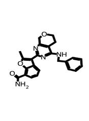 Cc1oc2c(C(N)=O)cccc2c1-c1nc2c(c(NCc3ccccc3)n1)CCOC2